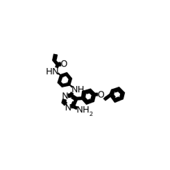 C=CC(=O)N[C@H]1CC[C@@H](Nc2ncnc(N)c2-c2ccc(OCc3ccccc3)cc2)CC1